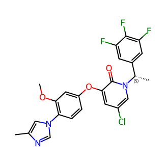 COc1cc(Oc2cc(Cl)cn([C@@H](C)c3cc(F)c(F)c(F)c3)c2=O)ccc1-n1cnc(C)c1